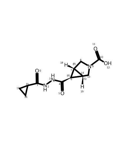 O=C(NNC(=O)[C@H]1[C@@H]2CN(C(=O)O)C[C@@H]21)C1CC1